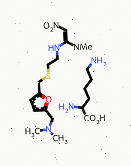 CN/C(=C/[N+](=O)[O-])NCCSCc1ccc(CN(C)C)o1.NCCCCC(N)C(=O)O